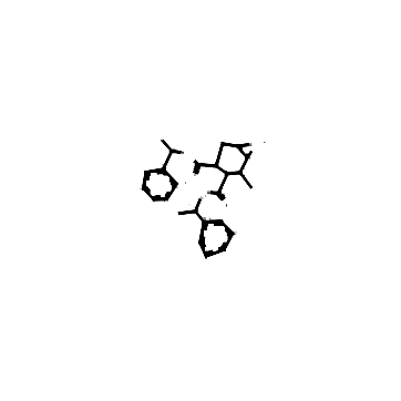 CC(OC(=O)C1CC2OC2C(C)C1C(=O)OC(C)c1ccccc1)c1ccccc1